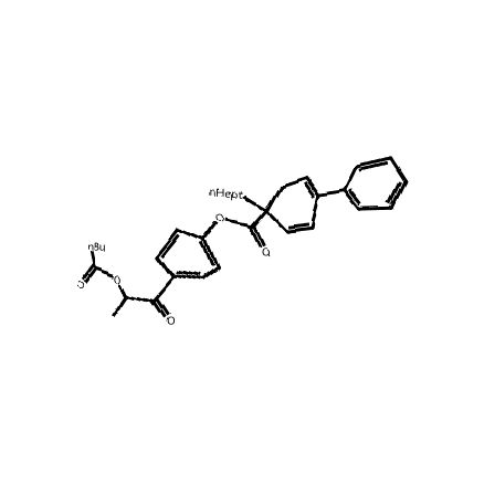 CCCCCCCC1(C(=O)Oc2ccc(C(=O)C(C)OC(=O)CCCC)cc2)C=CC(c2ccccc2)=CC1